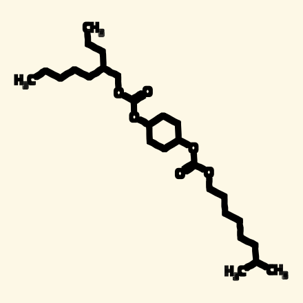 CCCCCC(CCC)COC(=O)OC1CCC(OC(=O)OCCCCCCC(C)C)CC1